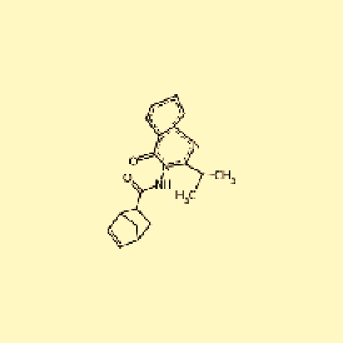 CC(C)c1nc2ccccc2c(=O)n1NC(=O)C1CC2C=CC1C2